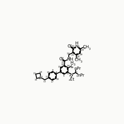 CCCC(CCC)N(CC)c1cc(-c2ccc(CN3CCC3)cc2)cc(C(=O)NCc2c(C)cc(C)[nH]c2=O)c1C